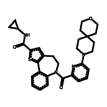 O=C(NC1CC1)c1cc2c(s1)-c1ccccc1N(C(=O)c1cccc(N3CCC4(CCOCC4)CC3)n1)CC2